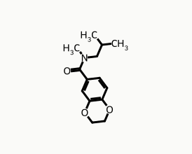 CC(C)CN(C)C(=O)c1ccc2c(c1)OCCO2